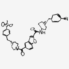 CS(=O)(=O)c1ccc(CN2CCN(C(=O)c3ccc4oc(C(=O)NC5CCN(Cc6ccc(C#N)cc6)CC5)cc4c3)CC2)cc1